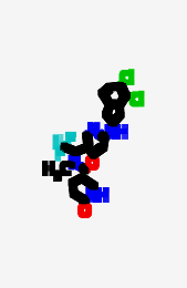 CN(C(=O)[C@H]1CCC(=O)NC1)[C@@H](c1ccc(NC2Cc3ccc(Cl)c(Cl)c3C2)nc1)C(F)(F)F